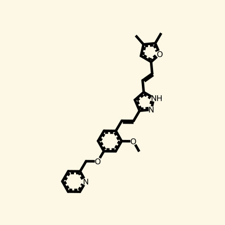 COc1cc(OCc2ccccn2)ccc1/C=C/c1cc(/C=C/c2cc(C)c(C)o2)[nH]n1